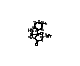 CCC[C@@H]1CC(=O)C[C@@]2(O1)C(=O)Nc1ccc(C)cc12